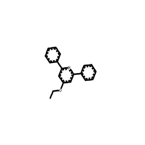 CCOc1cc(-c2ccccc2)nc(-c2ccccc2)c1